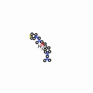 CC1(Cc2ccc3c(c2)oc2cc(N(c4ccccc4)c4cccc(-n5c6cccc7c6c6c8c(ccc9sc%10cccc-7c%10c98)ccc65)c4)ccc23)c2cccc3c2-c2c1ccc1ccc4c(c21)c1c-3cccc1n4-c1ccc(N(c2ccccc2)c2ccccc2)cc1